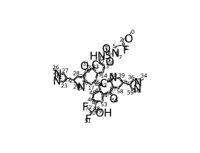 COCC(F)CN(C)S(=O)(=O)Nc1ccc2ccc3ncc(-c4cnn(C)c4)cc3c(=O)c2c1.Cn1cc(-c2cnc3ccc4ccc(C(O)C(F)F)cc4c(=O)c3c2)cn1